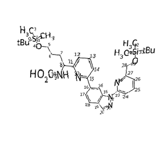 CC(C)(C)[Si](C)(C)OCCCC(NC(=O)O)c1cccc(-c2ccc3cnn(-c4cccc(CO[Si](C)(C)C(C)(C)C)n4)c3c2)n1